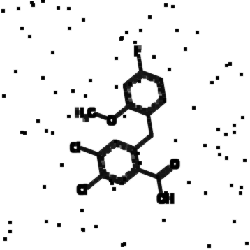 COc1cc(F)ccc1Cc1cc(Cl)c(Cl)cc1C(=O)O